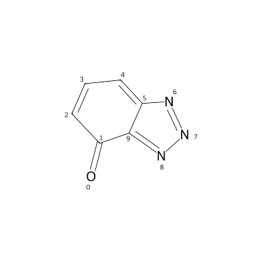 O=C1C=CC=C2N=NN=C12